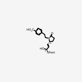 CCCCC[C@@H](O)C=C[C@H]1CCC(=O)N1CCc1ccc(C(=O)O)cc1